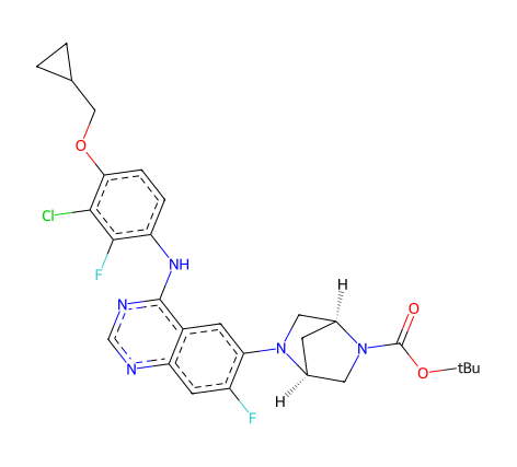 CC(C)(C)OC(=O)N1C[C@@H]2C[C@H]1CN2c1cc2c(Nc3ccc(OCC4CC4)c(Cl)c3F)ncnc2cc1F